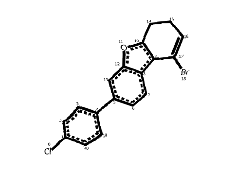 Clc1ccc(-c2ccc3c4c(oc3c2)CCC=C4Br)cc1